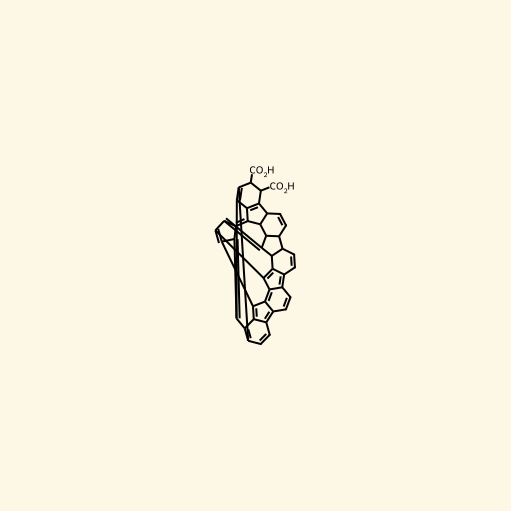 O=C(O)C1C2=c3c4c5c6c7c8c9c(c%10ccc%11c%12ccc%13c(c3c3c%13c%12c(c%11c%108)c7c53)C1C(=O)O)C=CC1C9C=6C3C1C=CC2C43